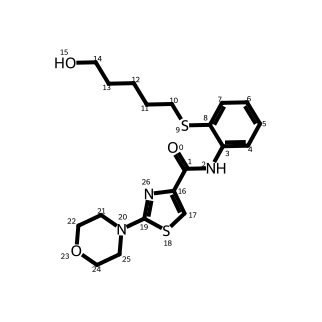 O=C(Nc1ccccc1SCCCCCO)c1csc(N2CCOCC2)n1